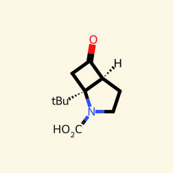 CC(C)(C)[C@]12CC(=O)[C@H]1CCN2C(=O)O